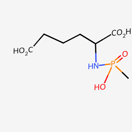 CP(=O)(O)NC(CCCC(=O)O)C(=O)O